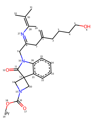 C=C(CCCCO)C/C(CN1C(=O)C2(CN(C(=O)OC(C)C)C2)c2ccccc21)=N\C(C)=C(C)C